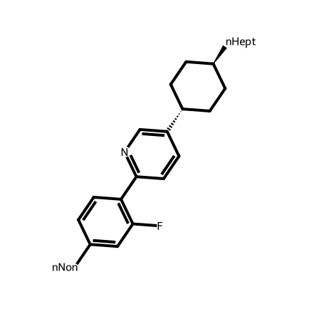 CCCCCCCCCc1ccc(-c2ccc([C@H]3CC[C@H](CCCCCCC)CC3)cn2)c(F)c1